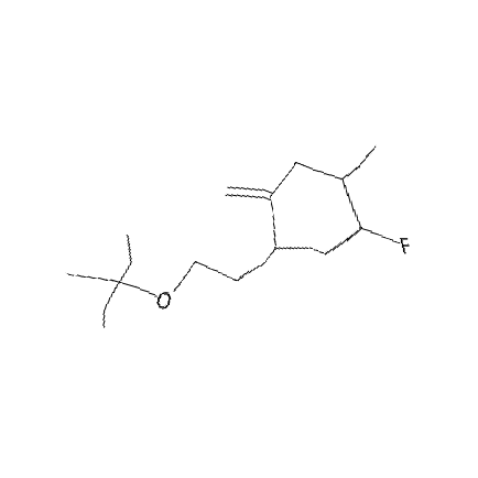 C=C1CC(C)C(F)CC1CCOC(C)(C)C